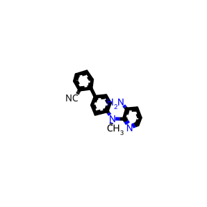 CN(c1ccc(-c2ccccc2C#N)cc1)c1ncccc1N